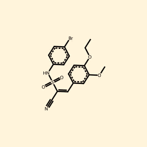 CCOc1ccc(C=C(C#N)S(=O)(=O)Nc2ccc(Br)cc2)cc1OC